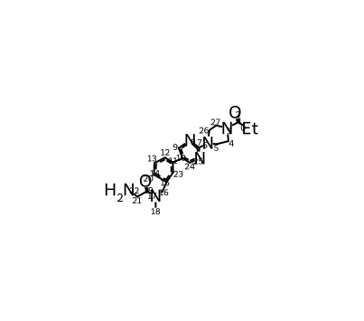 CCC(=O)N1CCN(c2ncc(-c3cccc(CN(C)C(=O)CN)c3)cn2)CC1